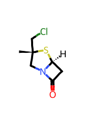 C[C@]1(CCl)CN2C(=O)C[C@@H]2S1